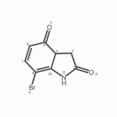 O=C1CC2C(=O)C=CC(Br)=C2N1